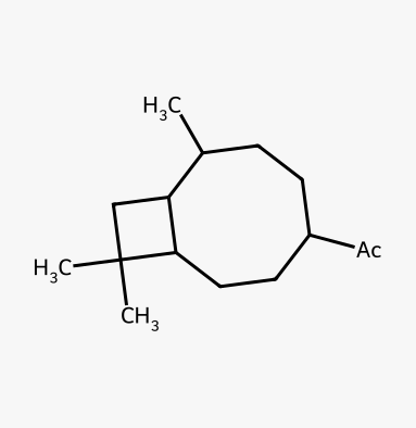 CC(=O)C1CCC(C)C2CC(C)(C)C2CC1